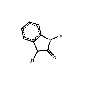 NC1C(=O)N(O)c2ccccc21